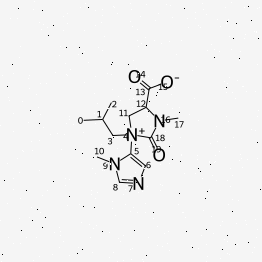 CC(C)C[N+]1(c2cncn2C)CC(C(=O)[O-])N(C)C1=O